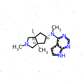 CN1C[C@]2(C)C[C@@H](N(C)c3ncnc4[nH]ccc34)C[C@]2(I)C1